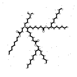 CCCCCCCCOC(=O)CCN(CCCCN(C)C)C(CCCCCC(=O)OCC(CCCCCC)CCCCCCCC)CCCCCC(=O)OCC(CCCCCC)CCCCCCCC